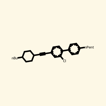 CCCCCc1ccc(-c2ccc(C#CC3CCC(CCCC)CC3)cc2Cl)cc1